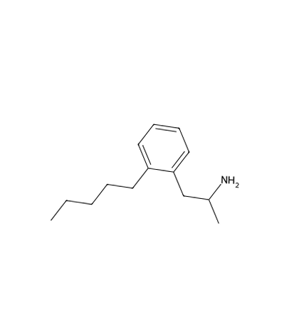 CCCCCc1ccccc1CC(C)N